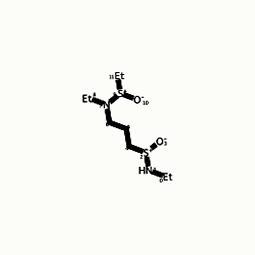 CCN[S+]([O-])CCCN(CC)[S+]([O-])CC